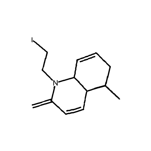 C=C1C=CC2C(C)CC=CC2N1CCI